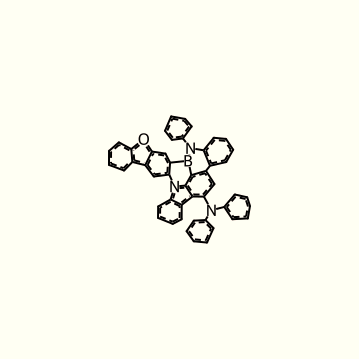 c1ccc(N2B3c4cc5oc6ccccc6c5cc4-n4c5ccccc5c5c(N(c6ccccc6)c6ccccc6)cc(c3c54)-c3ccccc32)cc1